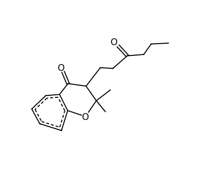 CCCC(=O)CCC1C(=O)c2ccccc2OC1(C)C